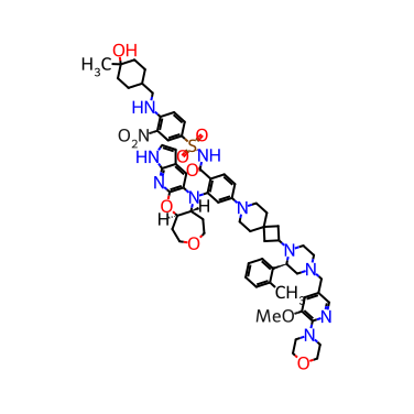 COc1cc(CN2CCN(C3CC4(CCN(c5ccc(C(=O)NS(=O)(=O)c6ccc(NCC7CCC(C)(O)CC7)c([N+](=O)[O-])c6)c(N6c7cc8cc[nH]c8nc7O[C@@H]7CCOCC[C@H]76)c5)CC4)C3)[C@H](c3ccccc3C)C2)cnc1N1CCOCC1